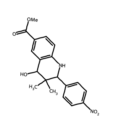 COC(=O)c1ccc2c(c1)C(O)C(C)(C)C(c1ccc([N+](=O)[O-])cc1)N2